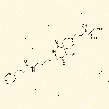 CCCN1C(=O)[C@H](CCCCNC(=O)OCc2ccccc2)NC(=O)C12CCN(CC[C@H](O)[C@H](O)CO)CC2